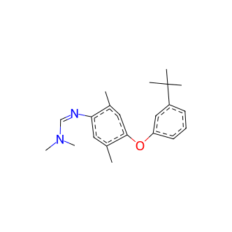 Cc1cc(Oc2cccc(C(C)(C)C)c2)c(C)cc1/N=C\N(C)C